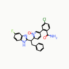 NC(=O)c1ccc(Cl)cc1-c1ccc(C(Cc2ccccc2)c2nc3cc(F)ccc3[nH]2)[n+]([O-])c1